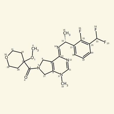 COC1(C(=O)N2Cc3c(n(C)cn/c3=N\[C@H](C)c3cccc(C(F)F)c3F)C2)CCOCC1